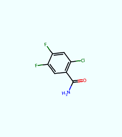 NC(=O)c1cc(F)c(F)cc1Cl